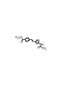 COC(=O)c1ccc(C=Cc2csc(NC(C)=O)n2)cc1